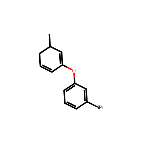 CC1C=C(Oc2cccc(C(C)C)c2)C=CC1